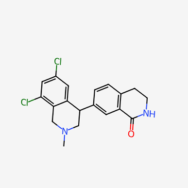 CN1Cc2c(Cl)cc(Cl)cc2C(c2ccc3c(c2)C(=O)NCC3)C1